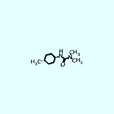 CN(C)C(=O)N[C@H]1CC[C@H](C)CC1